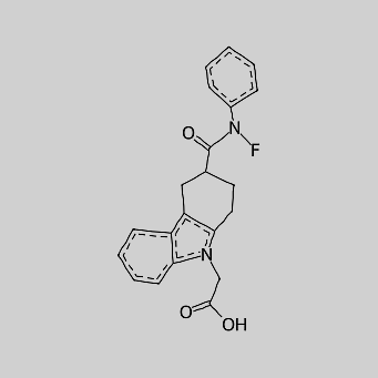 O=C(O)Cn1c2c(c3ccccc31)CC(C(=O)N(F)c1ccccc1)CC2